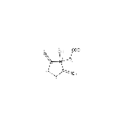 O=C([O-])O[N+]1(O)C(=O)CCC1=O